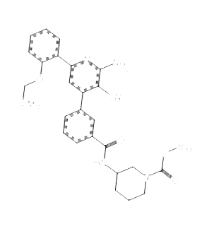 COCOc1ccccc1-c1cc(-c2cccc(C(=O)NC3CCCN(C(=O)OC(C)(C)C)C3)c2)c(C#N)c(N)n1